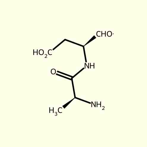 C[C@H](N)C(=O)N[C@H]([C]=O)CC(=O)O